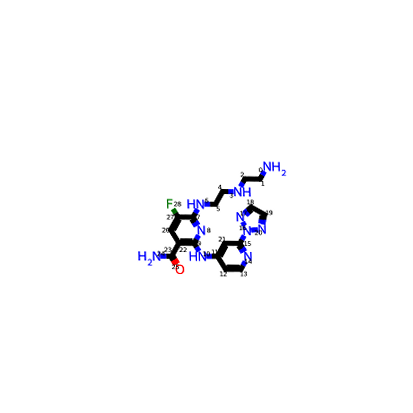 NCCNCCNc1nc(Nc2ccnc(-n3nccn3)c2)c(C(N)=O)cc1F